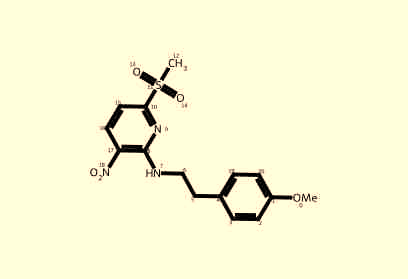 COc1ccc(CCNc2nc(S(C)(=O)=O)ccc2[N+](=O)[O-])cc1